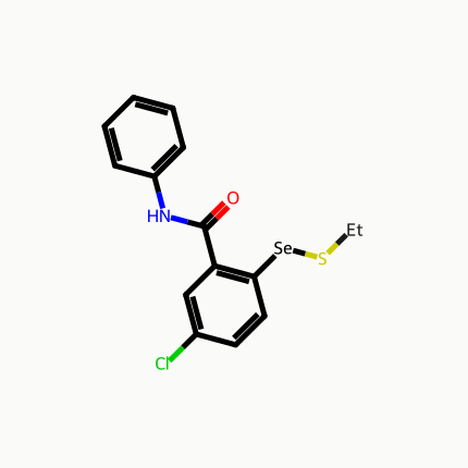 CCS[Se]c1ccc(Cl)cc1C(=O)Nc1ccccc1